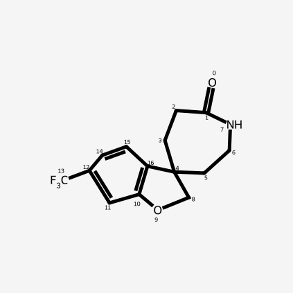 O=C1CCC2(CCN1)COc1cc(C(F)(F)F)ccc12